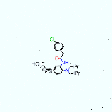 CC(C)CN(CC(C)C)c1ccc([C@H]2C[C@H]2C(=O)O)cc1NC(=O)Cc1ccc(Cl)cc1